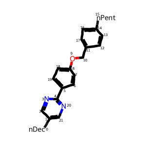 CCCCCCCCCCc1cnc(-c2ccc(OCc3ccc(CCCCC)cc3)cc2)nc1